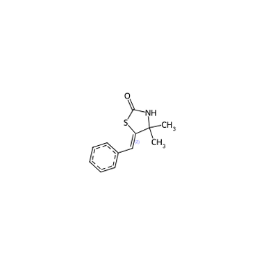 CC1(C)NC(=O)S/C1=C\c1ccccc1